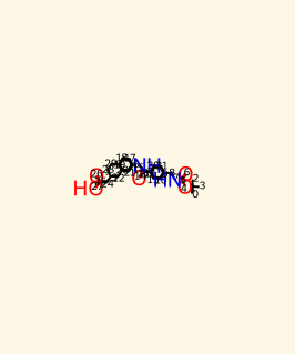 CC(C)(C)OC(=O)NCc1ccc(C(=O)Nc2ccc3c(c2)CC(CC(=O)O)CC3)cc1